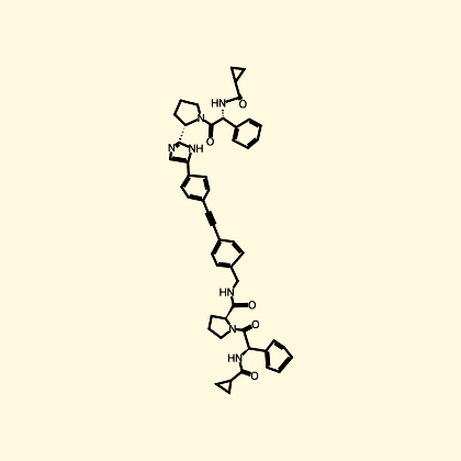 O=C(N[C@@H](C(=O)N1CCC[C@H]1C(=O)NCc1ccc(C#Cc2ccc(-c3cnc([C@@H]4CCCN4C(=O)[C@H](NC(=O)C4CC4)c4ccccc4)[nH]3)cc2)cc1)c1ccccc1)C1CC1